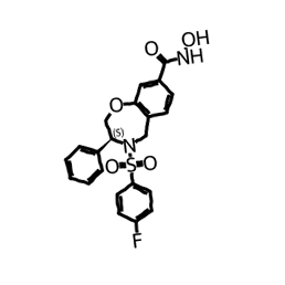 O=C(NO)c1ccc2c(c1)OC[C@H](c1ccccc1)N(S(=O)(=O)c1ccc(F)cc1)C2